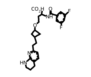 O=C(NC(CCOC1CC(CCc2ccc3c(n2)NCCC3)C1)C(=O)O)c1cc(F)cc(F)c1